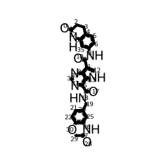 O=C1CCc2ccc(NC(=O)c3c[nH]c4c(C(=O)NCc5ccc6c(c5)NC(=O)CO6)ncnc34)cc2N1